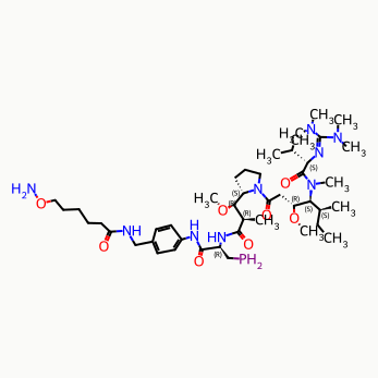 CC[C@H](C)[C@@H]([C@@H](CC(=O)N1CCC[C@H]1[C@H](OC)[C@@H](C)C(=O)N[C@@H](CP)C(=O)Nc1ccc(CNC(=O)CCCCCON)cc1)OC)N(C)C(=O)[C@@H](N=C(N(C)C)N(C)C)C(C)C